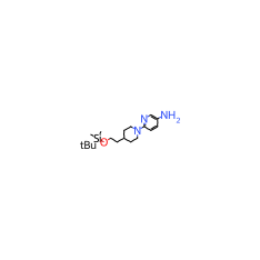 CC(C)(C)[Si](C)(C)OCCC1CCN(c2ccc(N)cn2)CC1